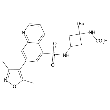 Cc1noc(C)c1-c1cc(S(=O)(=O)NC2CC(NC(=O)O)(C(C)(C)C)C2)c2cccnc2c1